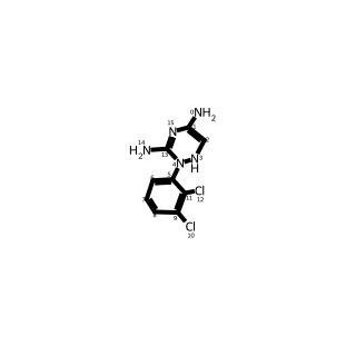 NC1=CNN(c2cccc(Cl)c2Cl)C(N)=N1